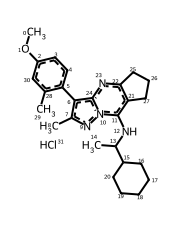 COc1ccc(-c2c(C)nn3c(NC(C)C4CCCCC4)c4c(nc23)CCC4)c(C)c1.Cl